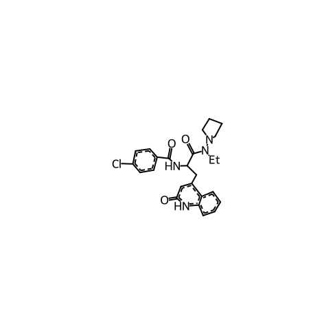 CCN(C(=O)C(Cc1cc(=O)[nH]c2ccccc12)NC(=O)c1ccc(Cl)cc1)N1CCCC1